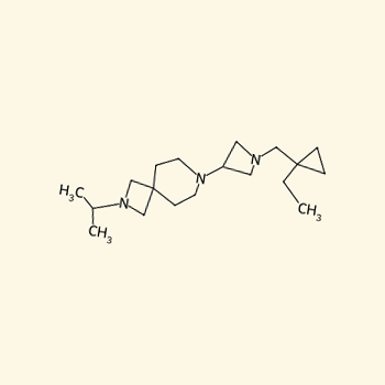 CCC1(CN2CC(N3CCC4(CC3)CN(C(C)C)C4)C2)CC1